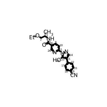 CCOC[C@H](C)NC(=O)c1ccc(-n2ncc(-c3ccc(C#N)cc3)c2O)nc1